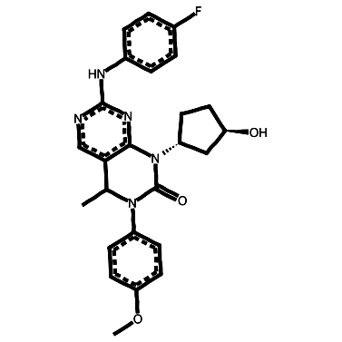 COc1ccc(N2C(=O)N([C@@H]3CC[C@@H](O)C3)c3nc(Nc4ccc(F)cc4)ncc3C2C)cc1